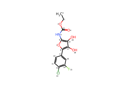 CCOC(=O)Nc1oc(-c2ccc(Cl)c(F)c2)c(O)c1O